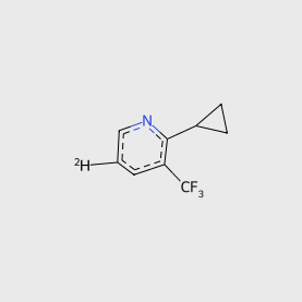 [2H]c1cnc(C2CC2)c(C(F)(F)F)c1